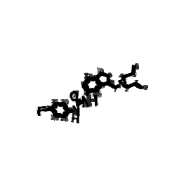 CCCN(CCC)CC1CCc2ccc(NC(=O)Nc3ccc(F)cc3)cc21